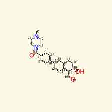 CN1CCN(C(=O)c2ccc(-c3ccc4c(C=O)c(O)ccc4c3)cc2)CC1